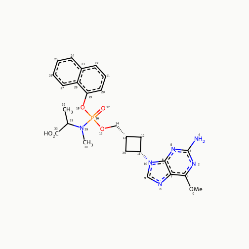 COc1nc(N)nc2c1ncn2[C@H]1C[C@@H](COP(=O)(Oc2cccc3ccccc23)N(C)C(C)C(=O)O)C1